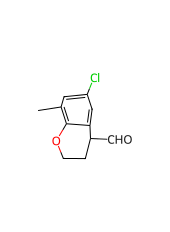 Cc1cc(Cl)cc2c1OCCC2C=O